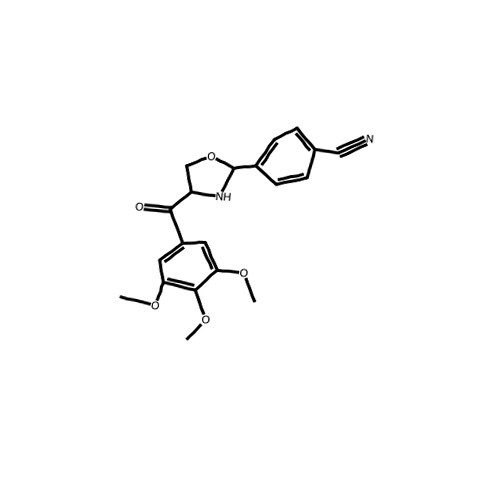 COc1cc(C(=O)C2COC(c3ccc(C#N)cc3)N2)cc(OC)c1OC